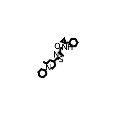 CC1CC(c2nc(C(=O)NC3(C4CCCCC4)CC3)cs2)CCN1C1CCCCC1